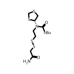 CCCCC(=O)N(CCSSCC(N)=O)[C@H]1CSCS1